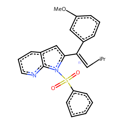 COc1cccc(/C(=C\C(C)C)c2cc3cccnc3n2S(=O)(=O)c2ccccc2)c1